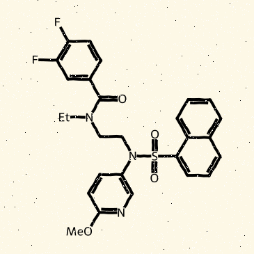 CCN(CCN(c1ccc(OC)nc1)S(=O)(=O)c1cccc2ccccc12)C(=O)c1ccc(F)c(F)c1